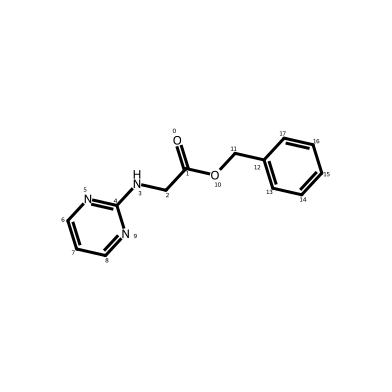 O=C(CNc1ncccn1)OCc1ccccc1